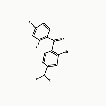 O=C(c1ccc(F)cc1F)c1ccc(C(Br)Br)cc1Br